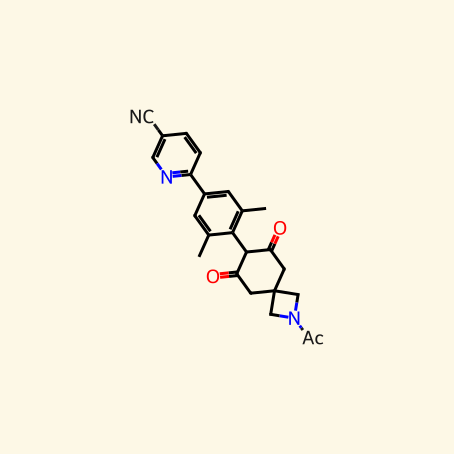 CC(=O)N1CC2(CC(=O)C(c3c(C)cc(-c4ccc(C#N)cn4)cc3C)C(=O)C2)C1